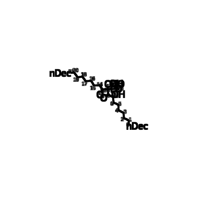 CCCCCCCCCCCCCCCCCC(=O)C([C]=O)(C(=O)CCCCCCCCCCCCCCCCC)P(=O)(O)O